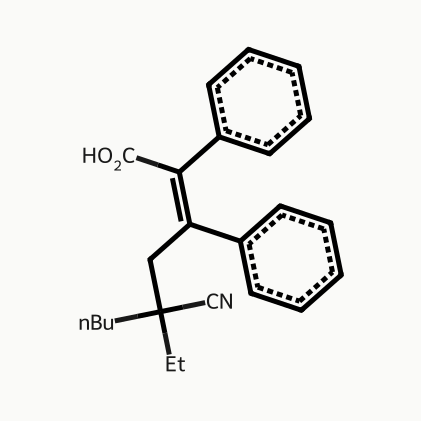 CCCCC(C#N)(CC)CC(=C(C(=O)O)c1ccccc1)c1ccccc1